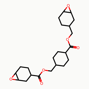 O=C(OCC1CCC2OC2C1)C1CCC(COC(=O)C2CCC3OC3C2)CC1